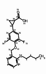 CCCCSc1ncccc1COc1c(F)cc(C2CC2C(=O)O)cc1F